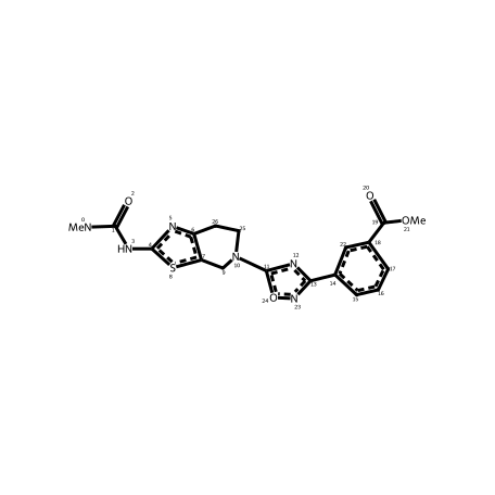 CNC(=O)Nc1nc2c(s1)CN(c1nc(-c3cccc(C(=O)OC)c3)no1)CC2